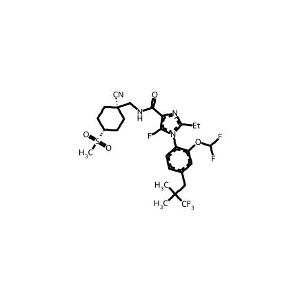 CCc1nc(C(=O)NC[C@]2(C#N)CC[C@@H](S(C)(=O)=O)CC2)c(F)n1-c1ccc(CC(C)(C)C(F)(F)F)cc1OC(F)F